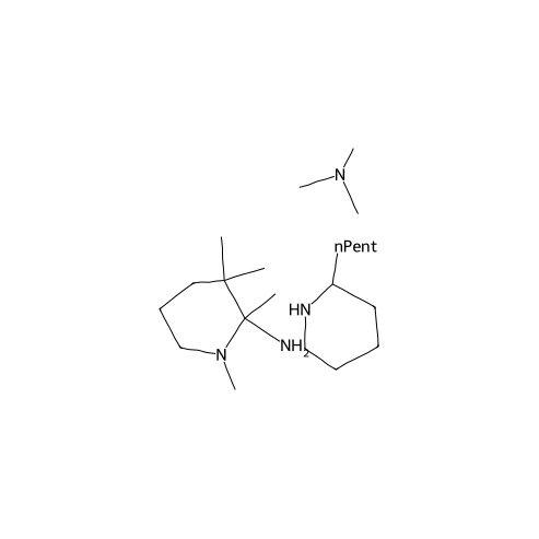 CCCCCC1CCCCN1.CN(C)C.CN1CCCC(C)(C)C1(C)N